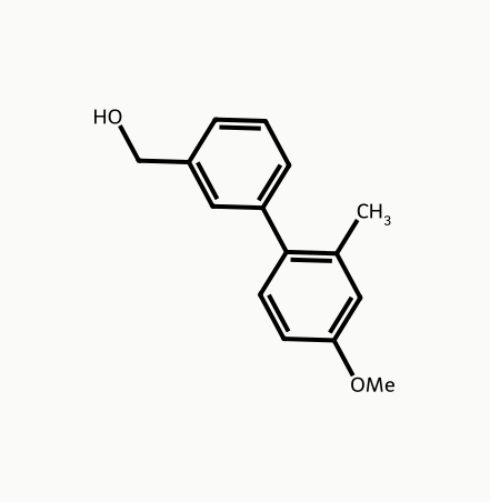 COc1ccc(-c2cccc(CO)c2)c(C)c1